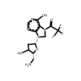 NC[C@H]1O[C@@H](N2CN(C(=O)C(F)(F)F)c3c(O)ncnc32)CC1O